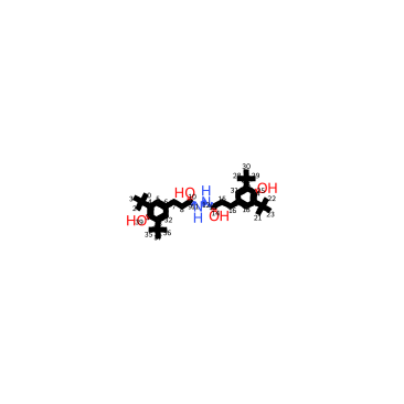 CC(C)(C)c1cc(CCC(O)NNC(O)CCc2cc(C(C)(C)C)c(O)c(C(C)(C)C)c2)cc(C(C)(C)C)c1O